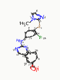 Cn1ccnc1Sc1ccc(Nc2ncc3cc(O)ccc3n2)cc1F